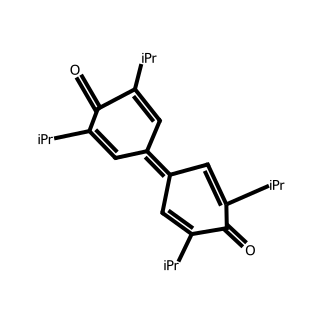 CC(C)C1=CC(=C2C=C(C(C)C)C(=O)C(C(C)C)=C2)C=C(C(C)C)C1=O